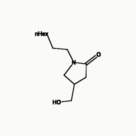 CCCCCCCCN1CC(CO)CC1=O